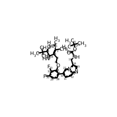 CN/C(C)=C(/CCOc1c(-c2ccc3ncc(CNC(=O)OC(C)(C)C)n3c2)ccc(F)c1F)C(=N)C(O)C(C)(C)C